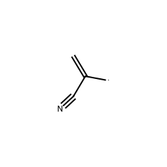 [CH2]C(=C)C#N